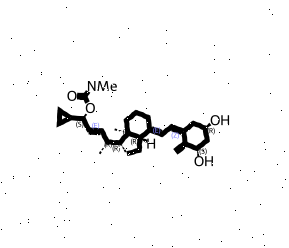 C=C1/C(=C\C=C2/CCC[C@]3(C)[C@@H]([C@H](C)/C=C/[C@@H](OC(=O)NC)C4CC4)CC[C@@H]23)C[C@@H](O)C[C@@H]1O